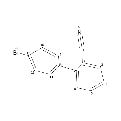 N#Cc1ccccc1-c1ccc(Br)cc1